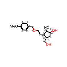 COc1ccc(COCC[C@H]2C([N+](=O)[O-])C(O)C[C@H]2CO)cc1